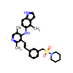 Cc1ncc(C#N)c(Nc2ccc3[nH]ccc3c2C)c1/C=C/c1cccc(CS(=O)(=O)N2CCCCC2)c1